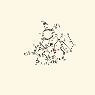 [CH2]=[Zr]([CH2]C)([C]1=CC(C2(C)C3CC4CC(C3)CC2C4)=CC1C)([c]1ccccc1)[c]1c(C)c(C(C)(C)C)cc2c1Cc1cc(C)c(C(C)(C)C)cc1-2